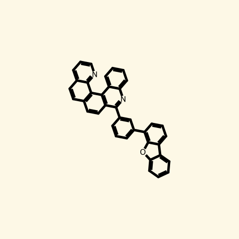 c1cc(-c2nc3ccccc3c3c2ccc2ccc4cccnc4c23)cc(-c2cccc3c2oc2ccccc23)c1